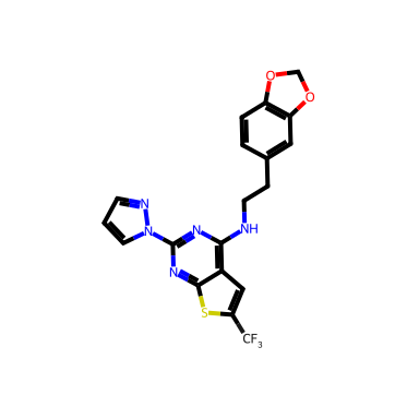 FC(F)(F)c1cc2c(NCCc3ccc4c(c3)OCO4)nc(-n3cccn3)nc2s1